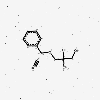 C#C[C@@H](OCC(C)(C)CO)c1ccccc1